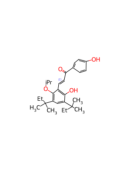 CCC(C)(C)c1cc(C(C)(C)CC)c(OC(C)C)c(/C=C/C(=O)c2ccc(O)cc2)c1O